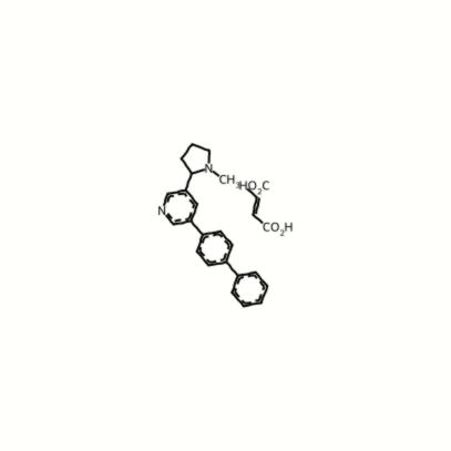 CN1CCCC1c1cncc(-c2ccc(-c3ccccc3)cc2)c1.O=C(O)C=CC(=O)O